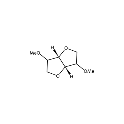 COC1CO[C@H]2C(OC)CO[C@@H]12